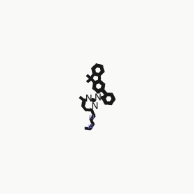 C/C=C\C=C\C1=NC(n2c3ccccc3c3cc4c(cc32)C(C)(C)c2ccccc2-4)=NC(C)=CC1